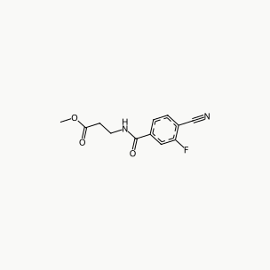 COC(=O)CCNC(=O)c1ccc(C#N)c(F)c1